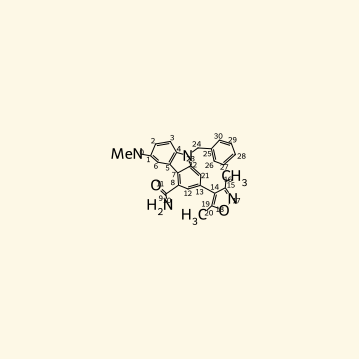 CNc1ccc2c(c1)c1c(C(N)=O)cc(-c3c(C)noc3C)cc1n2Cc1ccccc1